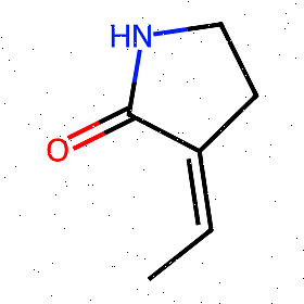 CC=C1CCNC1=O